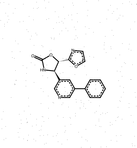 O=C1N[C@H](c2cncc(-c3ccccc3)c2)[C@@H](c2ncco2)O1